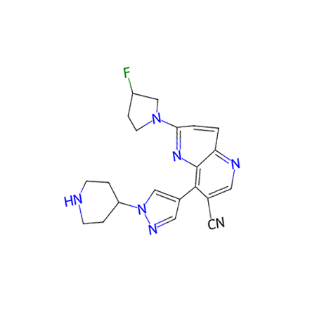 N#Cc1cnc2ccc(N3CCC(F)C3)nc2c1-c1cnn(C2CCNCC2)c1